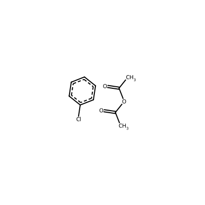 CC(=O)OC(C)=O.Clc1ccccc1